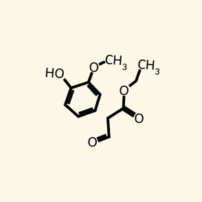 CCOC(=O)CC=O.COc1ccccc1O